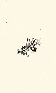 CC(C)(C)OC(=O)N[C@H](c1cn2ncc([C@H](N)C3CC3)cc2n1)C1CCC(F)(F)CC1